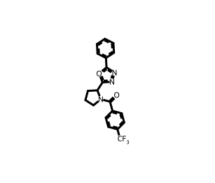 O=C(c1ccc(C(F)(F)F)cc1)N1CCCC1c1nnc(-c2ccccc2)o1